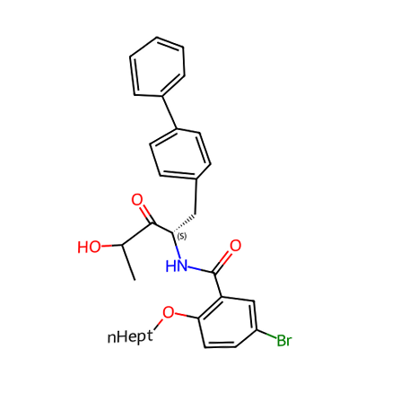 CCCCCCCOc1ccc(Br)cc1C(=O)N[C@@H](Cc1ccc(-c2ccccc2)cc1)C(=O)C(C)O